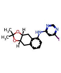 CC1(C)O[C@H]2Cc3cccc(Nc4cc(I)ncn4)c3C[C@H]2O1